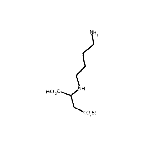 CCOC(=O)CC(NCCCCN)C(=O)O